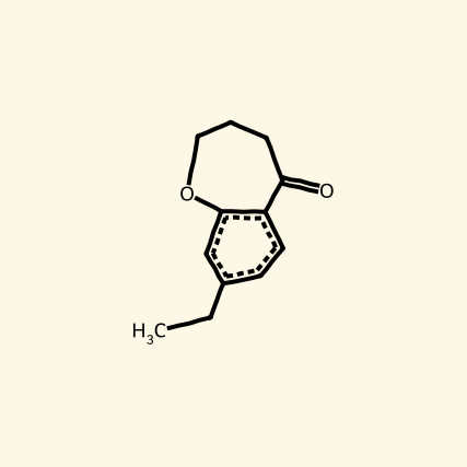 CCc1ccc2c(c1)OCCCC2=O